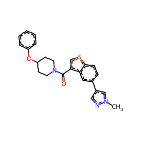 Cn1cc(-c2ccc3scc(C(=O)N4CCC(Oc5ccccc5)CC4)c3c2)cn1